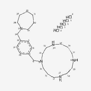 Cl.Cl.Cl.Cl.Cl.c1cc(CN2CCCNCCNCCCNCC2)ccc1CN1CCCCCC1